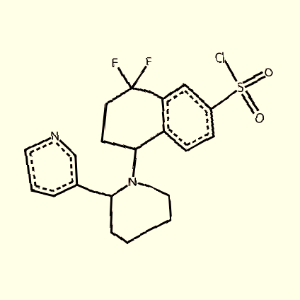 O=S(=O)(Cl)c1ccc2c(c1)C(F)(F)CCC2N1CCCCC1c1cccnc1